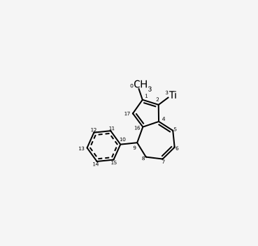 CC1=[C]([Ti])C2=CC=CCC(c3ccccc3)C2=C1